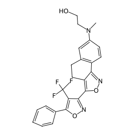 CN(CCO)c1ccc2c(c1)CCc1c-2noc1-c1noc(-c2ccccc2)c1C(F)(F)F